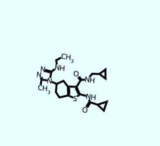 CCNc1nnc(C)n1C1CCc2sc(NC(=O)C3CC3)c(C(=O)NCC3CC3)c2C1